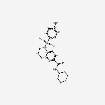 O=C(NC1CCCCC1)c1ccc2c(c1)CCCN2S(=O)(=O)c1ccc(Br)cc1